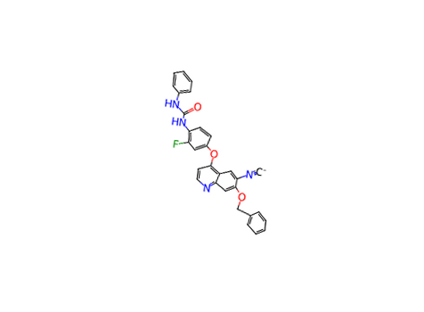 [C-]#[N+]c1cc2c(Oc3ccc(NC(=O)Nc4ccccc4)c(F)c3)ccnc2cc1OCc1ccccc1